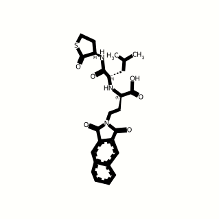 CC(C)C[C@H](N[C@H](CCN1C(=O)c2cc3ccccc3cc2C1=O)C(=O)O)C(=O)N[C@@H]1CCSC1=O